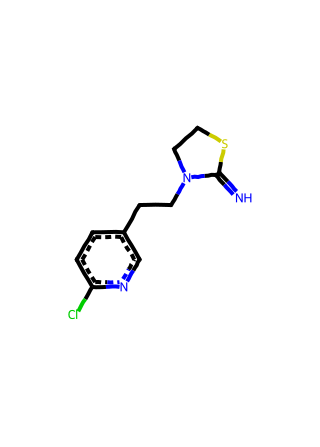 N=C1SCCN1CCc1ccc(Cl)nc1